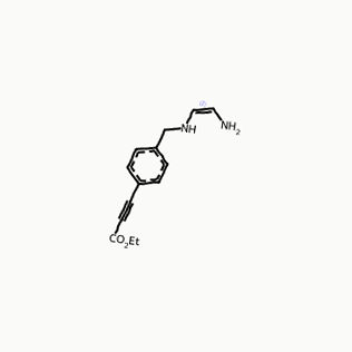 CCOC(=O)C#Cc1ccc(CN/C=C\N)cc1